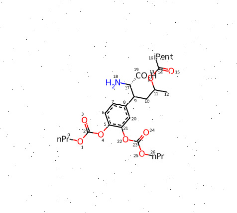 CCCOC(=O)Oc1ccc(C(CC(C)OC(=O)C(C)CCC)[C@H](N)C(=O)O)cc1OC(=O)OCCC